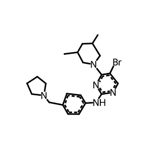 CC1CC(C)CN(c2nc(Nc3ccc(CN4CCCC4)cc3)ncc2Br)C1